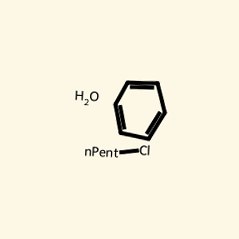 CCCCCCl.O.c1ccccc1